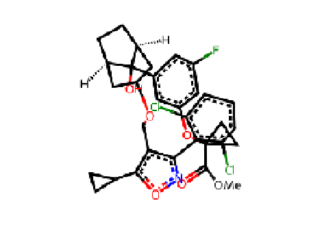 COC(=O)C1(Oc2cc(F)cc(C3(O)[C@@H]4CC[C@H]3CC(OCc3c(-c5c(Cl)cccc5Cl)noc3C3CC3)C4)c2)CC1